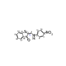 O=C1/C(=C\Nc2ccc([N+](=O)[O-])cc2)Sc2ccccc21